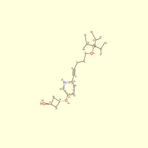 CC(C)[Si](OCCCC#Cc1ccc(O[C@H]2C[C@H](O)C2)cn1)(C(C)C)C(C)C